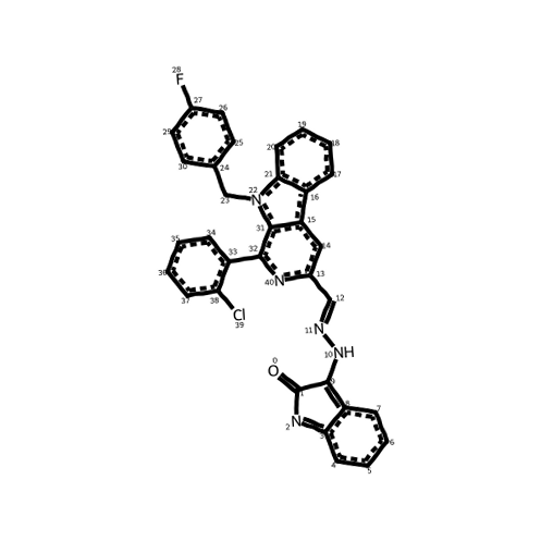 O=C1N=c2ccccc2=C1NN=Cc1cc2c3ccccc3n(Cc3ccc(F)cc3)c2c(-c2ccccc2Cl)n1